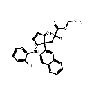 CCOC(=O)C(F)(F)C[C@]1(c2ccc3ccccc3c2)C(=O)C=C[C@H]1Nc1ccccc1Cl